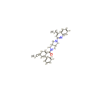 Cc1cc(N2CC3CN(C(=O)C4=CCC(C)C=C4c4ccccc4)CC3C2)nc2ccccc12